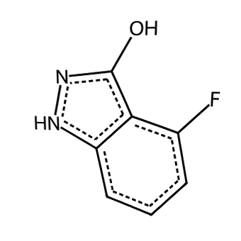 Oc1n[nH]c2cccc(F)c12